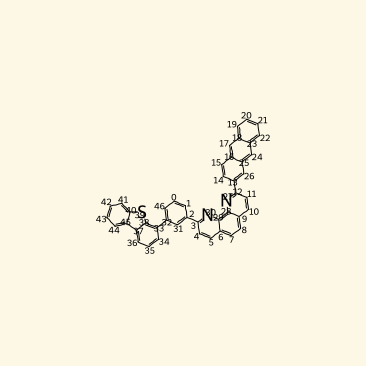 c1cc(-c2ccc3ccc4ccc(-c5ccc6cc7ccccc7cc6c5)nc4c3n2)cc(-c2cccc3c2sc2ccccc23)c1